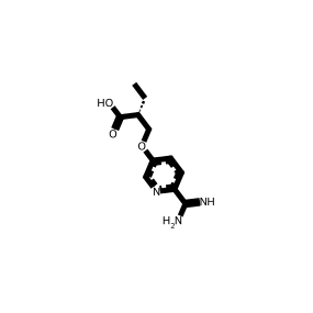 CC[C@H](COc1ccc(C(=N)N)nc1)C(=O)O